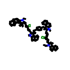 CCN1/C(=C/C=C(Cl)/C=C/C2=[N+](C)c3ccc4ccccc4c3C2(C)Cc2ccc(CC3(C)C(/C=C/C(Cl)=C/C=C4/N(CC)c5ccc6ccccc6c5C4(C)C)=[N+](C)c4ccc5ccccc5c43)cc2)C(C)(C)c2c1ccc1ccccc21